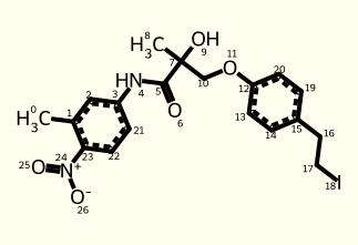 Cc1cc(NC(=O)C(C)(O)COc2ccc(CCI)cc2)ccc1[N+](=O)[O-]